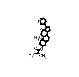 CC(C)C(=O)OC1CCC2(C)C(=CCC3C2CCC2(C)C(c4cccnc4)=CCC32)C1